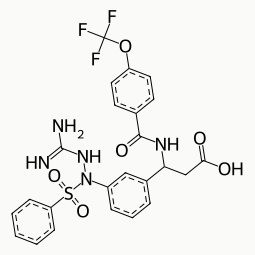 N=C(N)NN(c1cccc(C(CC(=O)O)NC(=O)c2ccc(OC(F)(F)F)cc2)c1)S(=O)(=O)c1ccccc1